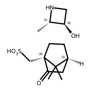 CC1(C)[C@H]2CC[C@]1(CS(=O)(=O)O)C(=O)C2.C[C@@H]1NC[C@H]1O